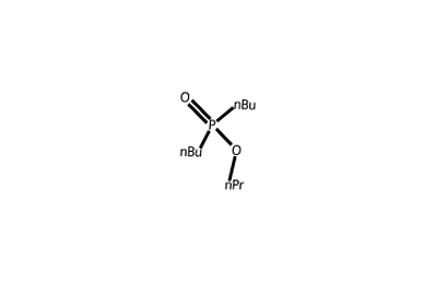 CCCCP(=O)(CCCC)OCCC